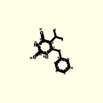 CC(C)c1c(Cc2ccccc2)[nH]c(=O)[nH]c1=O